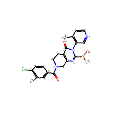 Cc1ccncc1-n1c([S+](C)[O-])nc2c(c1=O)CCN(C(=O)c1ccc(Cl)c(Cl)c1)C2